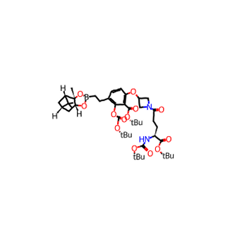 CC(C)(C)OC(=O)N[C@@H](CCC(=O)N1CC(Oc2ccc(CCB3O[C@@H]4C[C@@H]5C[C@@H](C5(C)C)[C@]4(C)O3)c(OC(=O)OC(C)(C)C)c2C(=O)OC(C)(C)C)C1)C(=O)OC(C)(C)C